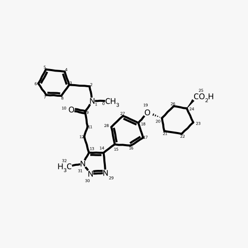 CN(Cc1ccccc1)C(=O)CCc1c(-c2ccc(O[C@H]3CCC[C@H](C(=O)O)C3)cc2)nnn1C